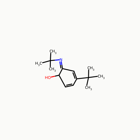 CC(C)(C)/N=C1/C=C(C(C)(C)C)C=CC1O